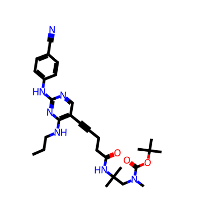 CCCNc1nc(Nc2ccc(C#N)cc2)ncc1C#CCCC(=O)NC(C)(C)CN(C)C(=O)OC(C)(C)C